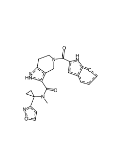 CN(C(=O)c1[nH]nc2c1CN(C(=O)c1cc3ccccc3[nH]1)CC2)C1(c2ccon2)CC1